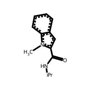 CC(C)NC(=O)c1cc2ccccc2n1C